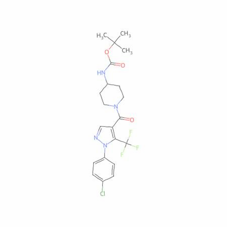 CC(C)(C)OC(=O)NC1CCN(C(=O)c2cnn(-c3ccc(Cl)cc3)c2C(F)(F)F)CC1